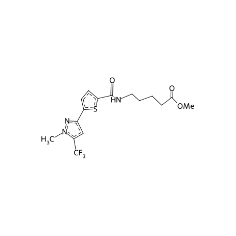 COC(=O)CCCCNC(=O)c1ccc(-c2cc(C(F)(F)F)n(C)n2)s1